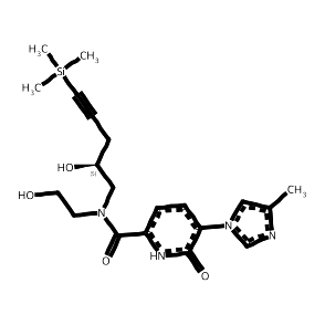 Cc1cn(-c2ccc(C(=O)N(CCO)C[C@@H](O)CC#C[Si](C)(C)C)[nH]c2=O)cn1